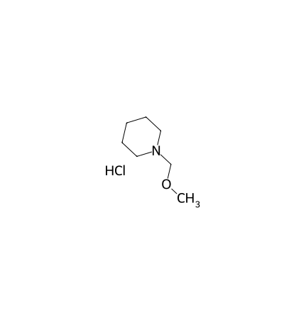 COCN1CCCCC1.Cl